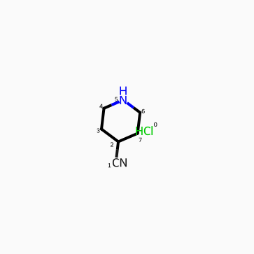 Cl.N#CC1CCNCC1